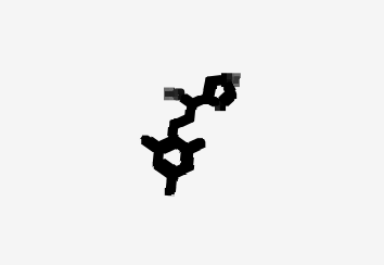 Cc1cc(C)c(CCC(O)c2c[nH]cn2)c(C)c1